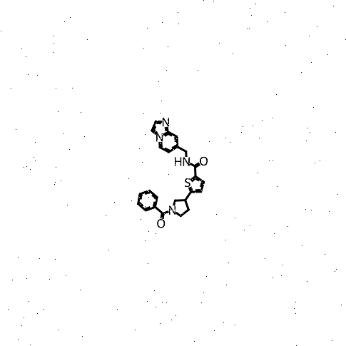 O=C(NCc1ccn2ccnc2c1)c1ccc(C2CCN(C(=O)c3ccccc3)C2)s1